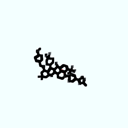 COc1ccc(COC2CC(C)(C)Cc3nc(C4CCN(c5ncc(-c6nc(C)no6)cn5)CC4)c(C(F)c4ccc(C(F)(F)F)cc4)c(C4CCC(F)(F)CC4)c32)cc1